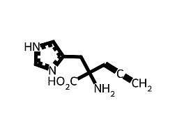 C=C=CC(N)(Cc1c[nH]cn1)C(=O)O